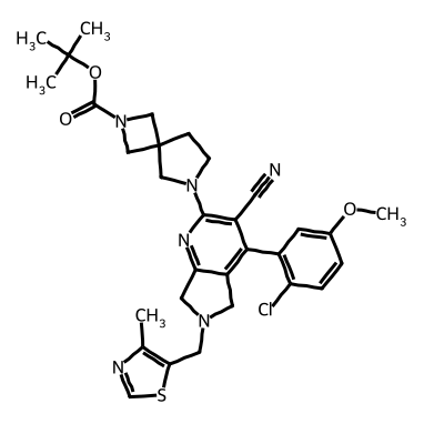 COc1ccc(Cl)c(-c2c(C#N)c(N3CCC4(CN(C(=O)OC(C)(C)C)C4)C3)nc3c2CN(Cc2scnc2C)C3)c1